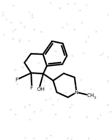 CN1CCC(C2(O)c3ccccc3CCC2(F)F)CC1